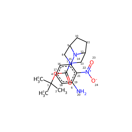 CC(C)(C)OC(=O)N1CC2CCC(C1)N2c1cccc(N)c1[N+](=O)[O-]